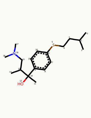 CC(C)CCSc1ccc(C(C)(O)C(C)CN(C)C)cc1